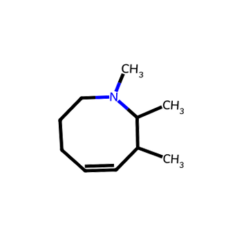 CC1/C=C\CCCN(C)C1C